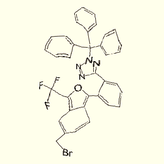 FC(F)(F)c1oc(-c2ccccc2-c2nnn(C(c3ccccc3)(c3ccccc3)c3ccccc3)n2)c2ccc(CBr)cc12